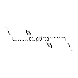 CCCCCCCC/C=C\CCCCCCCCN(CCCN1CCN(CCCN(CCCCCCCC/C=C\CCCCCCCC)C(=O)Cc2cn(C)cn2)CC1)C(=O)Cc1cn(C)cn1